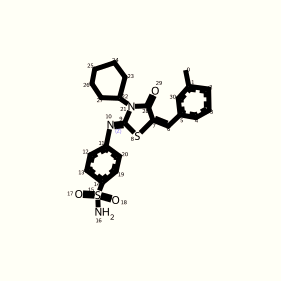 Cc1cccc(C=C2S/C(=N\c3ccc(S(N)(=O)=O)cc3)N(C3CCCCC3)C2=O)c1